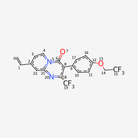 C=Cc1ccn2c(=O)c(-c3ccc(OCC(F)(F)F)cc3)c(C(F)(F)F)nc2c1